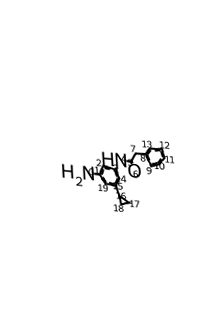 Nc1cc(NC(=O)Cc2ccccc2)cc(C2CC2)c1